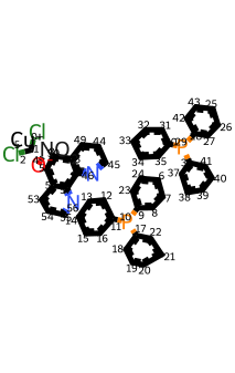 ClCCl.O=[N+]([O-])[O-].[Cu+].c1ccc(P(c2ccccc2)c2ccccc2)cc1.c1ccc(P(c2ccccc2)c2ccccc2)cc1.c1cnc2c(c1)ccc1cccnc12